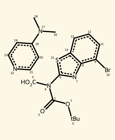 CC(C)(C)OC(=O)N(C(=O)O)c1nc2c(Br)cccc2s1.CN(C)c1ccncc1